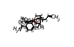 C=CCN1CC[C@]23CC(=O)CC[C@@]2(O)[C@H]1CC1=CC=C(C(N)=O)C(O)[C@]13C